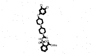 COC(=O)c1ccccc1S(=O)(=O)NC(=O)N1CCC(N2CCC(Oc3ccc(Cl)c(Cl)c3)CC2)CC1